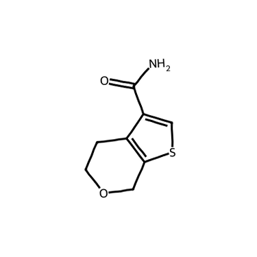 NC(=O)c1csc2c1CCOC2